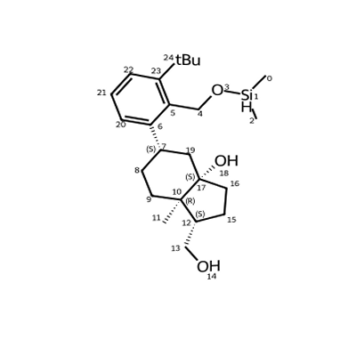 C[SiH](C)OCc1c([C@H]2CC[C@]3(C)[C@@H](CO)CC[C@]3(O)C2)cccc1C(C)(C)C